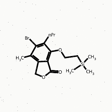 CCCc1c(Br)c(C)c2c(c1OCC[Si](C)(C)C)C(=O)OC2